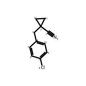 N#CC1(Cc2ccc(Cl)cc2)CC1